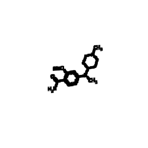 COc1cc(N(C)C2CCN(C)CC2)ccc1C(N)=O